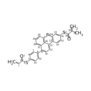 C=CC(=O)Sc1ccc(-c2ccc(-c3ccc(SC(=O)C(=C)C)cc3F)c3ccccc23)cc1